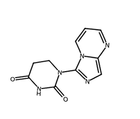 O=C1CCN(c2ncc3ncccn23)C(=O)N1